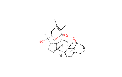 CC1=C(C)C(=O)O[C@@H]([C@](C)(O)[C@H]2CC[C@H]3[C@@H]4CC=C5CC=CC(=O)[C@]5(C)[C@H]4CC[C@]23C)C1